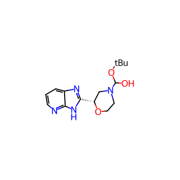 CC(C)(C)OC(O)N1CCO[C@H](c2nc3cccnc3[nH]2)C1